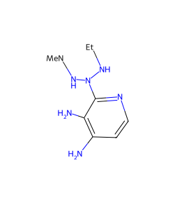 CCNN(NNC)c1nccc(N)c1N